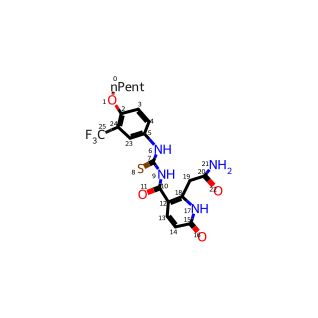 CCCCCOc1ccc(NC(=S)NC(=O)c2ccc(=O)[nH]c2CC(N)=O)cc1C(F)(F)F